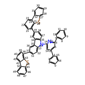 c1ccc(-c2cc(-c3ccccc3)nc(-n3c4ccc(-c5cccc6c5sc5ccccc56)cc4c4cc(-c5cccc6c5sc5ccccc56)ccc43)c2)cc1